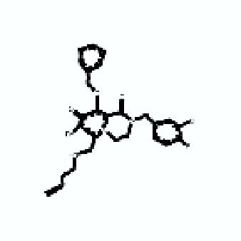 C=CCCNCc1c(Br)c(=O)c(OCc2ccccc2)c2n1CCN(Cc1ccc(F)c(Cl)c1)C2=O